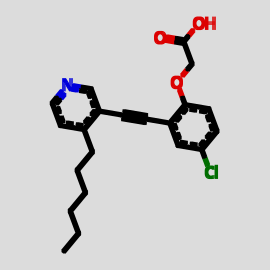 CCCCCCc1ccncc1C#Cc1cc(Cl)ccc1OCC(=O)O